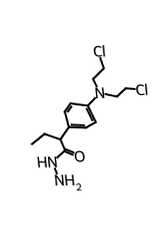 CCC(C(=O)NN)c1ccc(N(CCCl)CCCl)cc1